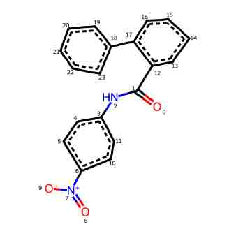 O=C(Nc1ccc([N+](=O)[O-])cc1)c1ccccc1-c1ccccc1